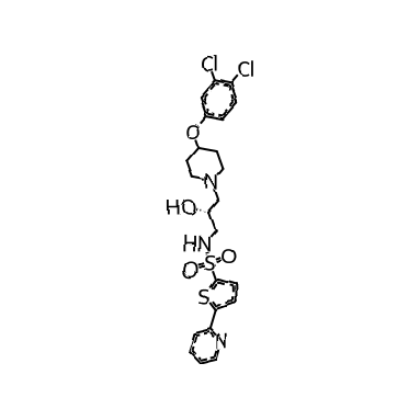 O=S(=O)(NC[C@H](O)CN1CCC(Oc2ccc(Cl)c(Cl)c2)CC1)c1ccc(-c2ccccn2)s1